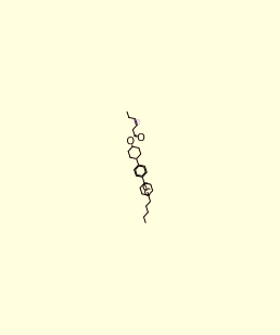 CC/C=C\CC(=O)OC1CCC(c2ccc(C34CCC(CCCCC)(CC3)CC4)cc2)CC1